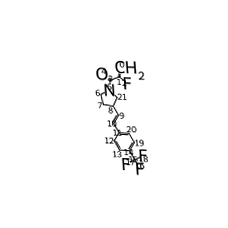 C=C(F)C(=O)N1CCC(/C=C/c2ccc(C(F)(F)F)cc2)C1